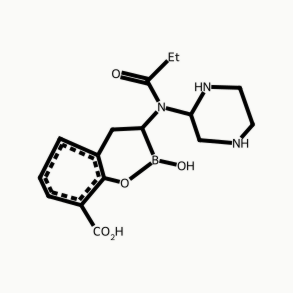 CCC(=O)N(C1CNCCN1)C1Cc2cccc(C(=O)O)c2OB1O